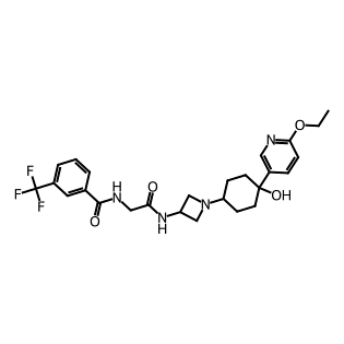 CCOc1ccc(C2(O)CCC(N3CC(NC(=O)CNC(=O)c4cccc(C(F)(F)F)c4)C3)CC2)cn1